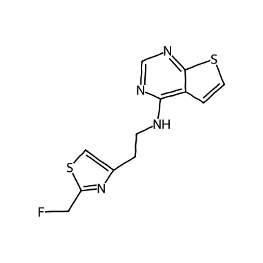 FCc1nc(CCNc2ncnc3sccc23)cs1